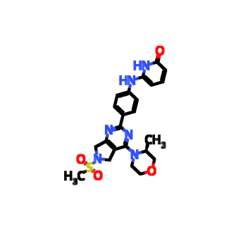 C[C@H]1COCCN1c1nc(-c2ccc(Nc3cccc(=O)[nH]3)cc2)nc2c1CN(S(C)(=O)=O)C2